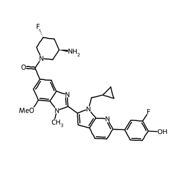 COc1cc(C(=O)N2C[C@H](N)C[C@@H](F)C2)cc2nc(-c3cc4ccc(-c5ccc(O)c(F)c5)nc4n3CC3CC3)n(C)c12